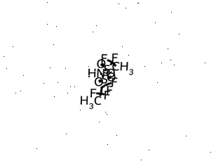 CC(F)(F)CC(F)(F)S(=O)(=O)NS(=O)(=O)C(C)(F)F